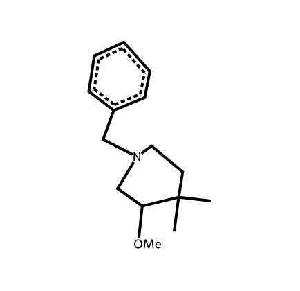 COC1CN(Cc2ccccc2)CCC1(C)C